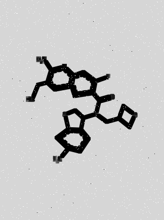 Nc1nc2cc(F)c(C(=O)N(CC3COC3)C3COc4cc(C(F)(F)F)ccc43)cc2cc1CO